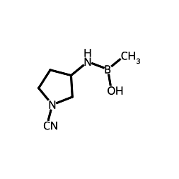 CB(O)NC1CCN(C#N)C1